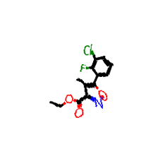 CCOC(=O)c1noc(-c2cccc(Cl)c2F)c1C